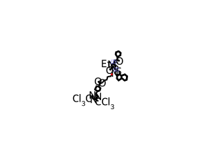 CCn1c(=O)/c(=C2/Sc3c(ccc4ccccc34)N2CCCCCOC(=O)c2ccc(-c3nc(C(Cl)(Cl)Cl)nc(C(Cl)(Cl)Cl)n3)cc2)s/c1=C\C(=O)c1ccccc1